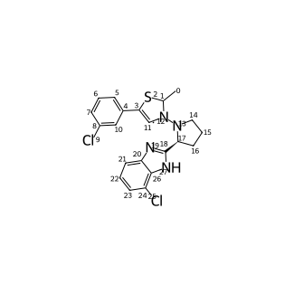 CC1SC(c2cccc(Cl)c2)=[C]N1N1CCC[C@H]1c1nc2cccc(Cl)c2[nH]1